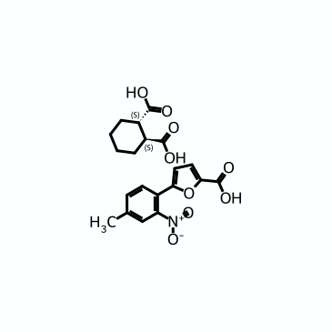 Cc1ccc(-c2ccc(C(=O)O)o2)c([N+](=O)[O-])c1.O=C(O)[C@H]1CCCC[C@@H]1C(=O)O